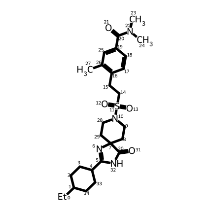 CCC1CCC(C2=NC3(CCN(S(=O)(=O)CCc4ccc(C(=O)N(C)C)cc4C)CC3)C(=O)N2)CC1